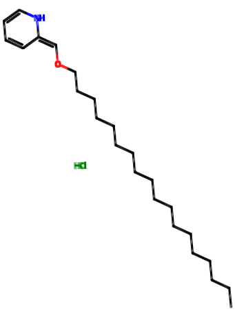 CCCCCCCCCCCCCCCCCCOC=C1C=CC=CN1.Cl